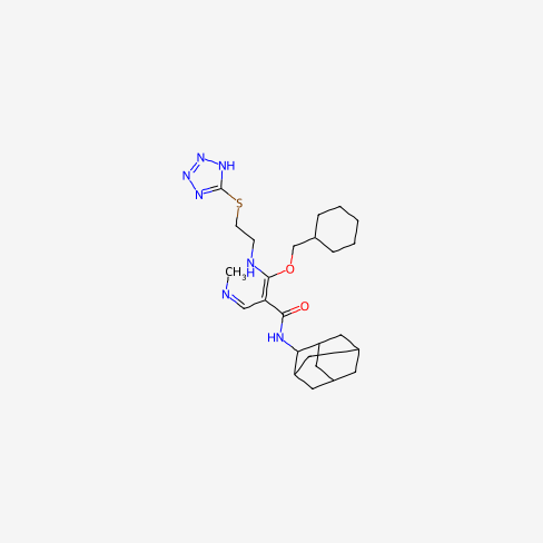 C/N=C\C(C(=O)NC1C2CC3CC(C2)CC1C3)=C(/NCCSc1nnn[nH]1)OCC1CCCCC1